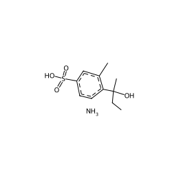 CCC(C)(O)c1ccc(S(=O)(=O)O)cc1C.N